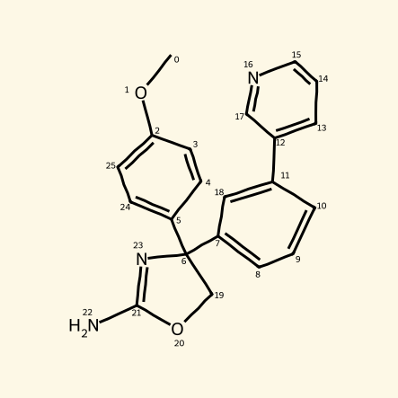 COc1ccc(C2(c3cccc(-c4cccnc4)c3)COC(N)=N2)cc1